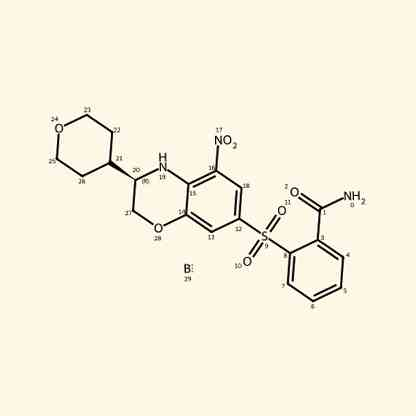 NC(=O)c1ccccc1S(=O)(=O)c1cc2c(c([N+](=O)[O-])c1)N[C@H](C1CCOCC1)CO2.[B]